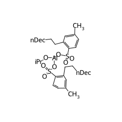 CCCCCCCCCCCCc1cc(C)ccc1S(=O)(=O)[O][Al]([O]C(C)C)[O]S(=O)(=O)c1ccc(C)cc1CCCCCCCCCCCC